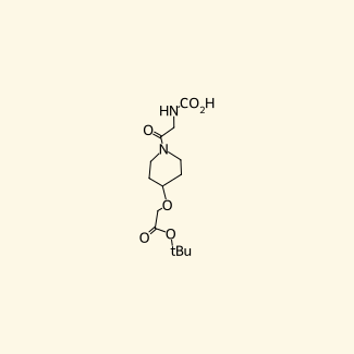 CC(C)(C)OC(=O)COC1CCN(C(=O)CNC(=O)O)CC1